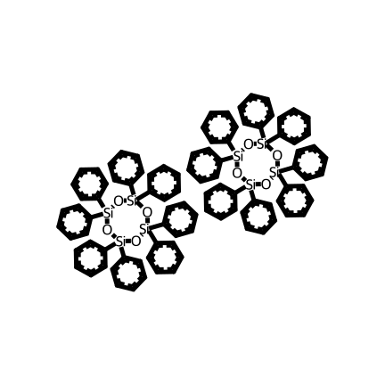 c1ccc([Si]2(c3ccccc3)O[Si](c3ccccc3)(c3ccccc3)O[Si](c3ccccc3)(c3ccccc3)O[Si](c3ccccc3)(c3ccccc3)O2)cc1.c1ccc([Si]2(c3ccccc3)O[Si](c3ccccc3)(c3ccccc3)O[Si](c3ccccc3)(c3ccccc3)O[Si](c3ccccc3)(c3ccccc3)O2)cc1